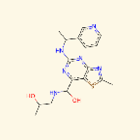 Cc1nc2nc(NC(C)c3cccnc3)nc(C(O)NCC(C)O)c2s1